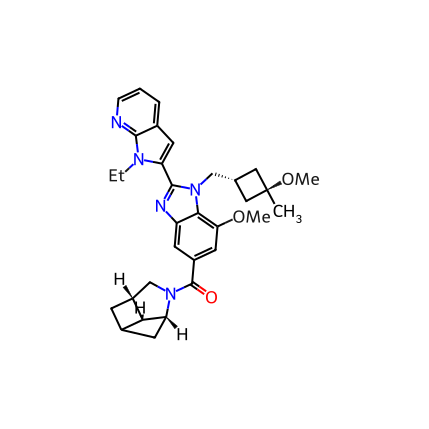 CCn1c(-c2nc3cc(C(=O)N4C[C@H]5CC6C[C@@H]4[C@H]65)cc(OC)c3n2C[C@H]2C[C@](C)(OC)C2)cc2cccnc21